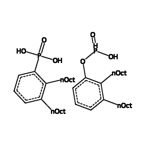 CCCCCCCCc1cccc(O[PH](=O)O)c1CCCCCCCC.CCCCCCCCc1cccc(P(=O)(O)O)c1CCCCCCCC